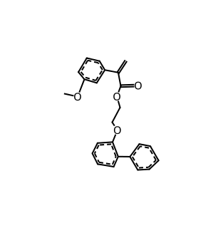 C=C(C(=O)OCCOc1ccccc1-c1ccccc1)c1cccc(OC)c1